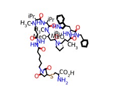 CC[C@H](C)[C@@H]([C@@H](CC(=O)N1CCC[C@H]1[C@H](OC)[C@@H](C)C(=O)N[C@@H](Cc1c[nH]c2ccccc12)C(=O)NCc1ccccc1)OC)N(C)C(=O)[C@@H](NC(=O)[C@H](C(C)C)N(C)CCCC(=O)NNC(=O)CCCCCN1C(=O)CC(SC[C@H](N)C(=O)O)C1=O)C(C)C